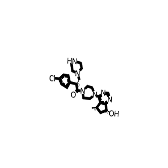 C[C@@H]1C[C@@H](O)c2ncnc(N3CCN(C(=O)[C@@H](CN4CCNCC4)c4ccc(Cl)cc4)CC3)c21